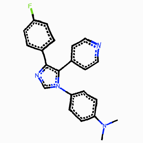 CN(C)c1ccc(-n2cnc(-c3ccc(F)cc3)c2-c2ccncc2)cc1